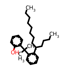 CCCCCCCCC(CCCC)c1ccccc1C(C)(C)c1ccccc1O